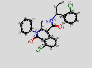 CC[C@H](NC(=O)c1c(C)n(-c2ccccc2)c(=O)c2c(Cl)cccc12)c1ccccc1Cl